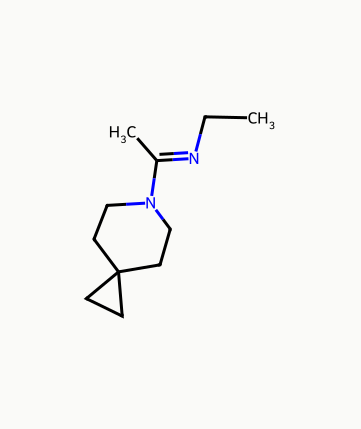 CC/N=C(\C)N1CCC2(CC1)CC2